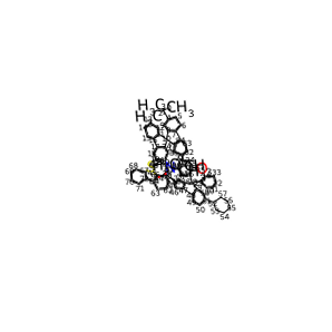 CC(C)(C)c1ccc2c(c1)C1(c3ccccc3-c3ccc(N(c4ccc5c(c4)C4(c6ccccc6O5)c5cc(C6CCCCC6)ccc5-c5ccc(C6CCCCC6)cc54)c4cccc5c4sc4ccccc45)cc31)c1cc(C(C)(C)C)ccc1-2